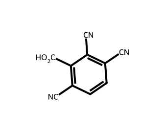 N#Cc1ccc(C#N)c(C(=O)O)c1C#N